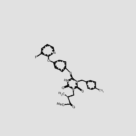 COC(=O)[C@@H](C)Cn1c(=O)[nH]/c(=N\c2ccc(Oc3ncccc3F)cc2)n(Cc2ccc(C)cc2)c1=O